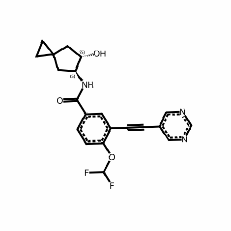 O=C(N[C@H]1CC2(CC2)C[C@@H]1O)c1ccc(OC(F)F)c(C#Cc2cncnc2)c1